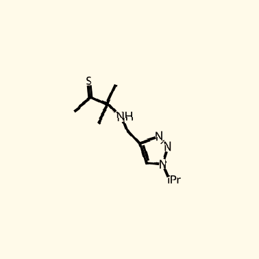 CC(=S)C(C)(C)NCc1cn(C(C)C)nn1